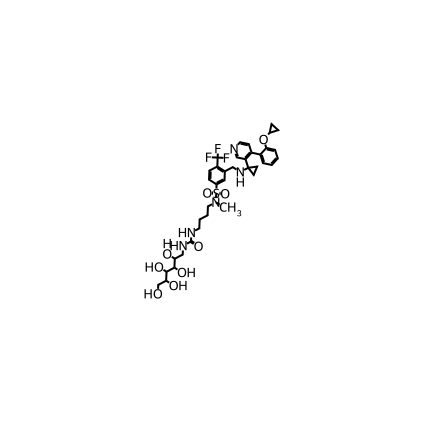 CN(CCCCNC(=O)NCC(O)C(O)C(O)C(O)CO)S(=O)(=O)c1ccc(C(F)(F)F)c(CNC2(c3cnccc3-c3ccccc3OC3CC3)CC2)c1